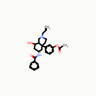 C=CCN1CCC2(c3cccc(OC(C)=O)c3)C[C@H](NC(=O)c3ccccc3)CC(O)C2C1